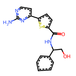 Nc1nccc(-c2ccc(C(=O)NC(CO)c3ccccc3)s2)n1